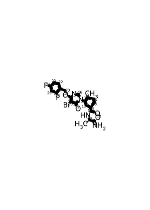 Cc1ccc(C(=O)N[C@@H](C)C(N)=O)cc1-n1cnc(OCc2ccc(F)cc2F)c(Br)c1=O